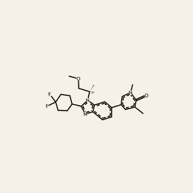 COC[C@H](C)n1c(C2CCC(F)(F)CC2)nc2ccc(-c3cc(C)c(=O)n(C)c3)cc21